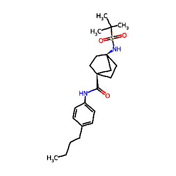 CCCCc1ccc(NC(=O)[C@]23CC[C@](NS(=O)(=O)C(C)(C)C)(CC2)C3)cc1